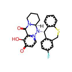 O=C1c2c(O)c(=O)ccn2N([C@H]2c3ccc(F)cc3CSc3ccccc32)[C@@H]2CCCCN12